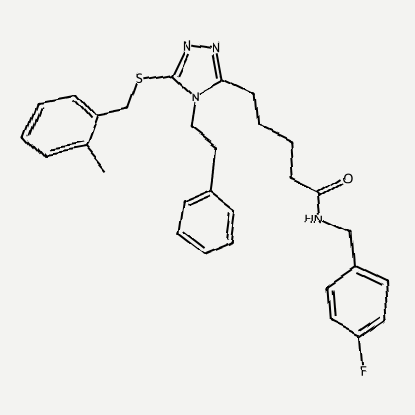 Cc1ccccc1CSc1nnc(CCCCC(=O)NCc2ccc(F)cc2)n1CCc1ccccc1